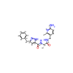 Cc1nc(N)ccc1CNC(=O)[C@H](C)NC(=O)c1cc(Cc2ccccc2)n[nH]1